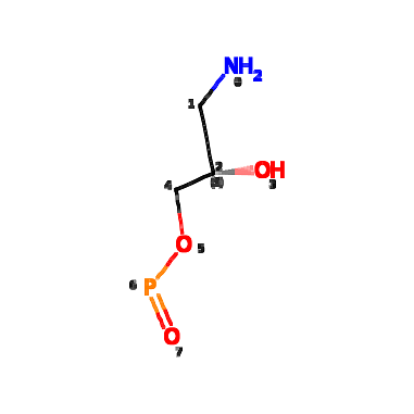 NC[C@H](O)COP=O